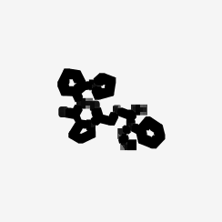 N=NN(C(=N)SCC(=O)N1CCC[C@H]1C(=O)Nc1ccccc1-n1cccc1)c1ccccc1